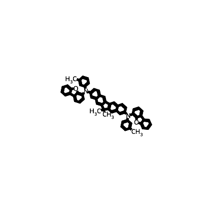 Cc1cccc(N(c2ccc3cc4c(cc3c2)C(C)(C)c2cc3cc(N(c5cccc(C)c5)c5cccc6c5oc5ccccc56)ccc3cc2-4)c2cccc3c2oc2ccccc23)c1